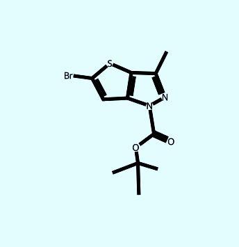 Cc1nn(C(=O)OC(C)(C)C)c2cc(Br)sc12